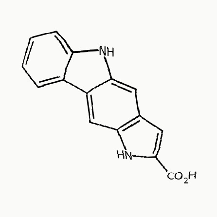 O=C(O)c1cc2cc3[nH]c4ccccc4c3cc2[nH]1